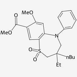 CCCCC1(CC)CN(c2ccccc2)c2cc(OC)c(C(=O)OC)cc2S(=O)(=O)C1